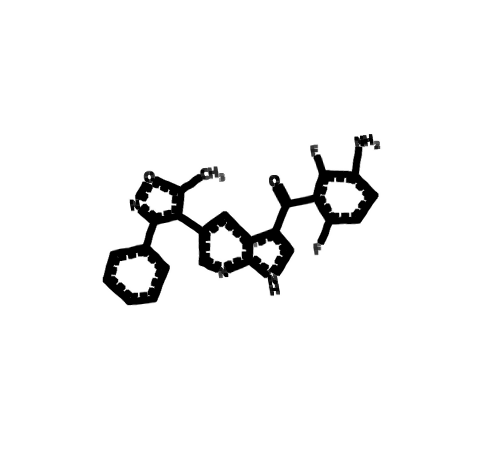 Cc1onc(-c2ccccc2)c1-c1cnc2[nH]cc(C(=O)c3c(F)ccc(N)c3F)c2c1